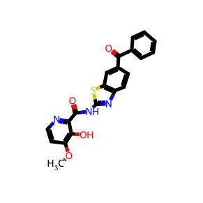 COc1ccnc(C(=O)Nc2nc3ccc(C(=O)c4ccccc4)cc3s2)c1O